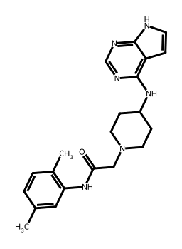 Cc1ccc(C)c(NC(=O)CN2CCC(Nc3ncnc4[nH]ccc34)CC2)c1